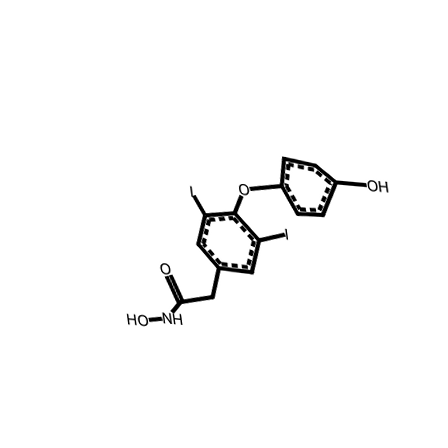 O=C(Cc1cc(I)c(Oc2ccc(O)cc2)c(I)c1)NO